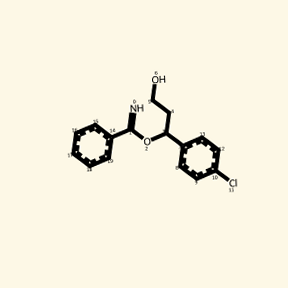 N=C(OC(CCO)c1ccc(Cl)cc1)c1ccccc1